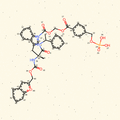 CC(NC(=O)[C@@](C)(Cc1cn(C(=O)OCOC(=O)c2ccc(COP(=O)(O)O)cc2)c2ccccc12)NC(=O)OCc1cc2ccccc2o1)c1ccccc1